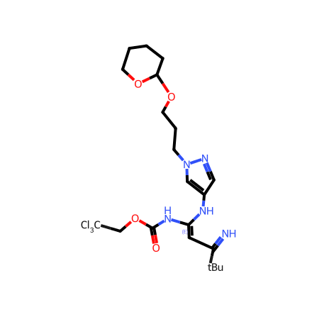 CC(C)(C)C(=N)/C=C(/NC(=O)OCC(Cl)(Cl)Cl)Nc1cnn(CCCOC2CCCCO2)c1